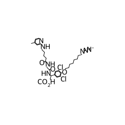 Cc1ccnc(NCCCCC(=O)NCC(=O)NC(CC(=O)O)c2cc(Cl)c(OCCCCCCCCN=[N+]=[N-])c(Cl)c2)c1